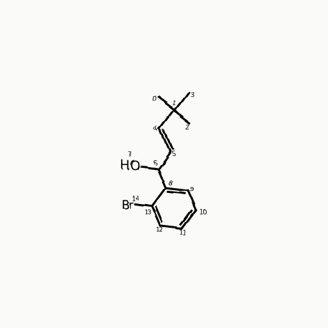 CC(C)(C)/C=C/C(O)c1ccccc1Br